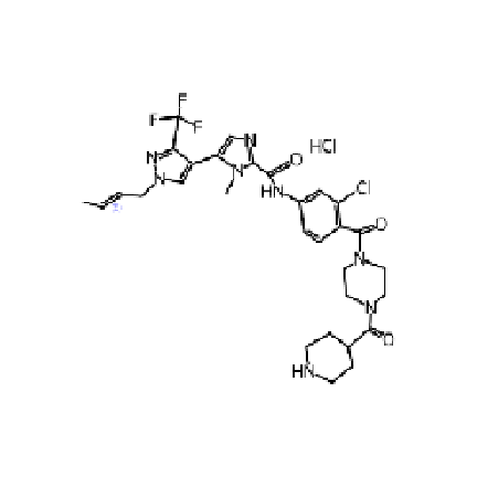 C/C=C/Cn1cc(-c2cnc(C(=O)Nc3ccc(C(=O)N4CCN(C(=O)C5CCNCC5)CC4)c(Cl)c3)n2C)c(C(F)(F)F)n1.Cl